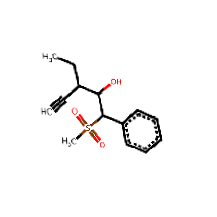 C#CC(CC)C(O)C(c1ccccc1)S(C)(=O)=O